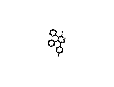 Fc1ccc(-c2nnc(F)c(-c3ccccn3)c2-c2ccccc2)cc1